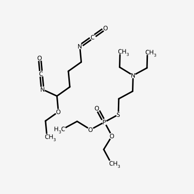 CCOC(CCCN=C=O)N=C=O.CCOP(=O)(OCC)SCCN(CC)CC